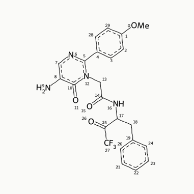 COc1ccc(-c2ncc(N)c(=O)n2CC(=O)NC(Cc2ccccc2)C(=O)C(F)(F)F)cc1